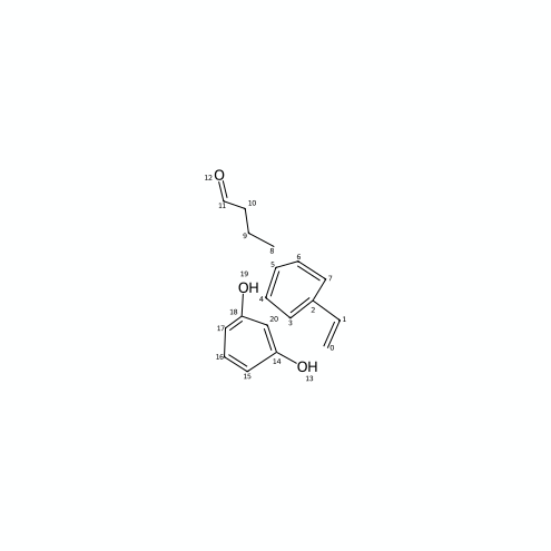 C=Cc1ccccc1.CCCC=O.Oc1cccc(O)c1